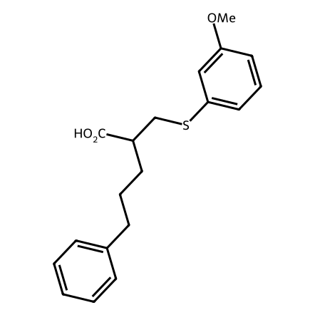 COc1cccc(SCC(CCCc2ccccc2)C(=O)O)c1